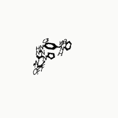 COc1cc(C(=O)NC2CCCC[C@@H]2O)ccc1Nc1ncc2c(n1)N(C1CCCC1)CC(F)(F)C(=O)N2C